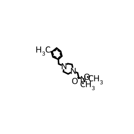 CON(C)C(=O)CN1CCN(Cc2cccc(C)c2)CC1